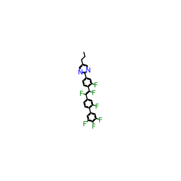 CCCc1cnc(-c2ccc(/C(F)=C(\F)c3ccc(-c4cc(F)c(F)c(F)c4)c(F)c3)c(F)c2)nc1